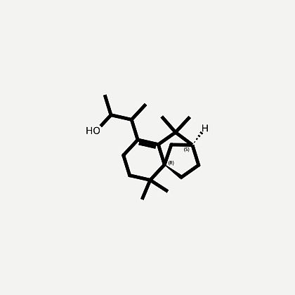 CC(O)C(C)C1=C2C(C)(C)[C@H]3CC[C@@]2(C3)C(C)(C)CC1